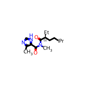 CC[C@@H](CCC(C)C)C(=O)N(C)C(=O)c1[nH]cnc1C